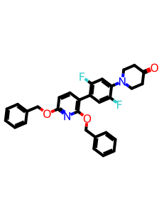 O=C1CCN(c2cc(F)c(-c3ccc(OCc4ccccc4)nc3OCc3ccccc3)cc2F)CC1